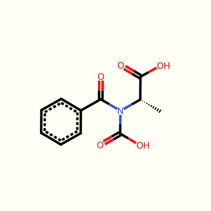 C[C@@H](C(=O)O)N(C(=O)O)C(=O)c1ccccc1